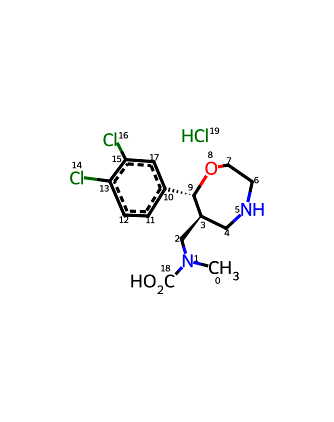 CN(C[C@@H]1CNCCO[C@H]1c1ccc(Cl)c(Cl)c1)C(=O)O.Cl